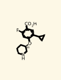 O=C(O)c1cc(C2CC2)c(O[C@@H]2CCCNC2)cc1F